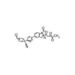 CC(=O)NC[C@@H]1OC(=O)N2c3ccc(-c4ccc(C5(C#N)C6CN(C=O)CC65)nc4)cc3C[C@@H]12